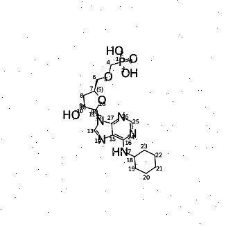 O=P(O)(O)COC[C@@H]1C[C@@H](O)[C@H](n2cnc3c(NC4CCCCC4)ncnc32)O1